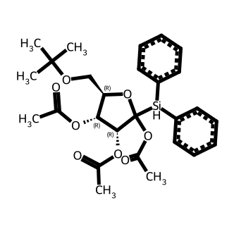 CC(=O)O[C@H]1[C@@H](OC(C)=O)C(OC(C)=O)([SiH](c2ccccc2)c2ccccc2)O[C@@H]1COC(C)(C)C